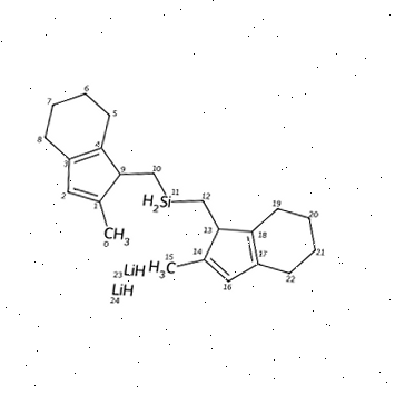 CC1=CC2=C(CCCC2)C1C[SiH2]CC1C(C)=CC2=C1CCCC2.[LiH].[LiH]